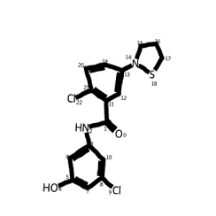 O=C(Nc1cc(O)cc(Cl)c1)c1cc(N2CCCS2)ccc1Cl